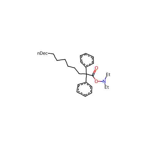 CCCCCCCCCCCCCCCCC(C(=O)ON(CC)CC)(c1ccccc1)c1ccccc1